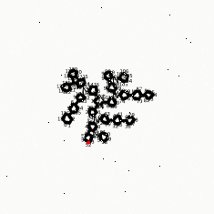 c1ccc(-c2ccc(-c3ccc(N(c4cccc(-c5cc(-c6cccc(N(c7ccc(-c8ccc(-c9ccccc9)cc8)cc7)c7ccc8c9ccccc9n(-c9ccccc9)c8c7)c6)nc(-c6cccc(N(c7ccc(-c8ccc(-c9ccccc9)cc8)cc7)c7ccc8c9ccccc9n(-c9ccccc9)c8c7)c6)n5)c4)c4ccc5c(c4)C(c4ccccc4)c4ccccc4-5)cc3)cc2)cc1